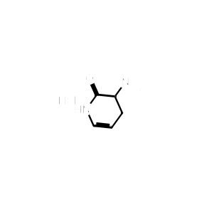 Cl.NC1CC=CNC1=O